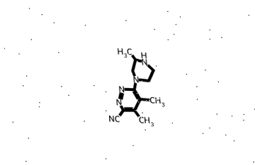 Cc1c(C#N)nnc(N2CCNC(C)C2)c1C